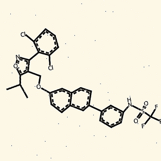 CC(C)c1onc(-c2c(Cl)cccc2Cl)c1COc1ccc2cc(-c3cccc(NS(=O)(=O)C(F)(F)F)c3)ccc2c1